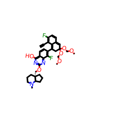 C#Cc1c(F)ccc2c1=C(c1ccc3c(O)nc(OC[C@]45CCCC4N(C)CCC5)nc3c1F)CC(OCOC)(OCOC)C=2